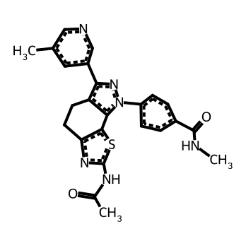 CNC(=O)c1ccc(-n2nc(-c3cncc(C)c3)c3c2-c2sc(NC(C)=O)nc2CC3)cc1